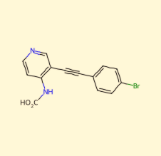 O=C(O)Nc1ccncc1C#Cc1ccc(Br)cc1